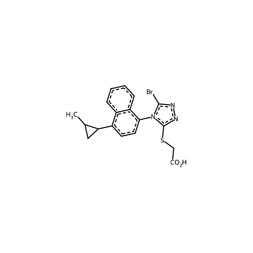 CC1CC1c1ccc(-n2c(Br)nnc2SCC(=O)O)c2ccccc12